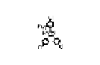 CC(C)Oc1cc(Cl)ccc1C1=N[C@H](c2ccc(Cl)cc2)[C@H](c2ccc(Cl)cc2)N1